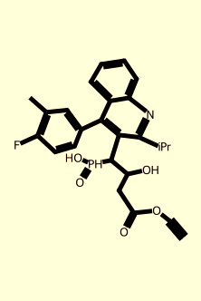 C#COC(=O)CC(O)C(c1c(C(C)C)nc2ccccc2c1-c1ccc(F)c(C)c1)[PH](=O)O